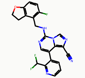 N#Cc1ncn2c(NCc3c(F)ccc4c3CCO4)ncc(-c3cccnc3C(F)F)c12